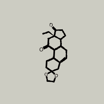 CC[C@]12CC(=O)C3C4CCC5(CC4=CCC3C1CCC2=O)OCCO5